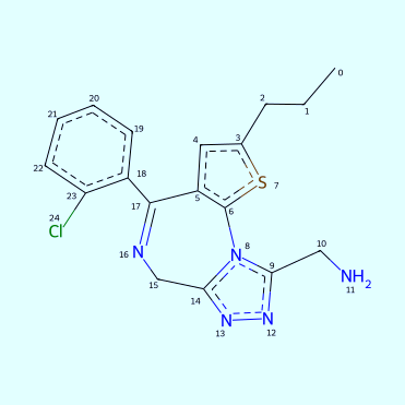 CCCc1cc2c(s1)-n1c(CN)nnc1CN=C2c1ccccc1Cl